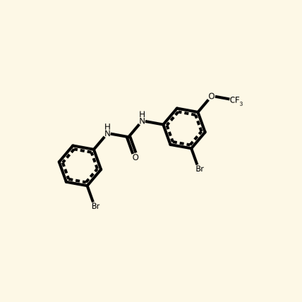 O=C(Nc1cccc(Br)c1)Nc1cc(Br)cc(OC(F)(F)F)c1